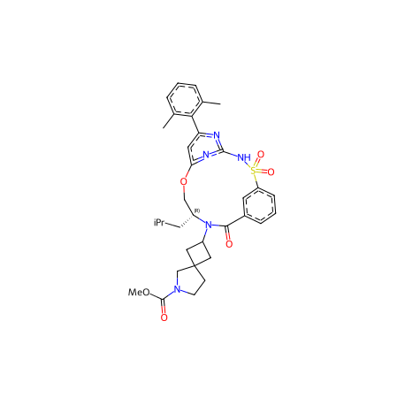 COC(=O)N1CCC2(CC(N3C(=O)c4cccc(c4)S(=O)(=O)Nc4nc(cc(-c5c(C)cccc5C)n4)OC[C@H]3CC(C)C)C2)C1